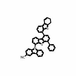 N#Cc1ccc2c(c1)c1ccccc1n2-c1cccc2c1sc1c(-c3ccccc3)ccc(-c3cccc4c5c(sc34)CCC=C5)c12